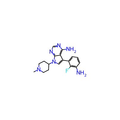 CN1CCC(n2cc(-c3cccc(N)c3F)c3c(N)ncnc32)CC1